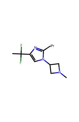 CC(C)c1nc(C(C)(F)F)cn1C1CN(C)C1